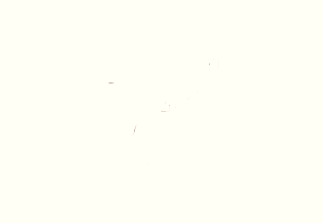 CC1=C(C)[C](C)([Zr+2][CH]2C(c3ccccc3)=Cc3ccccc32)C(C)=C1C.[Cl-].[Cl-]